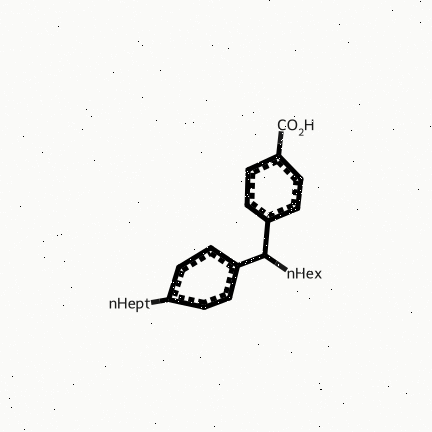 CCCCCCCc1ccc(C(CCCCCC)c2ccc(C(=O)O)cc2)cc1